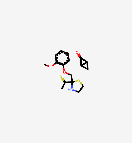 COc1ccccc1OCC1(C(C)=S)NCCS1.O=C1C2CC12